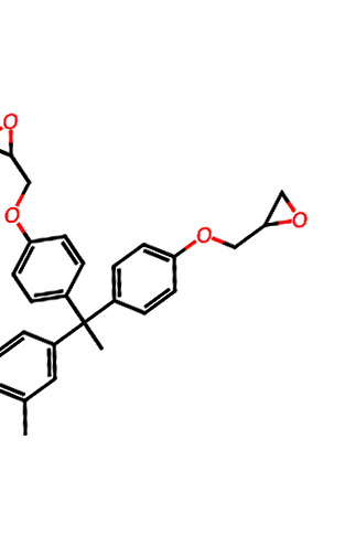 Cc1ccc(C(C)(c2ccc(OCC3CO3)cc2)c2ccc(OCC3CO3)cc2)cc1C